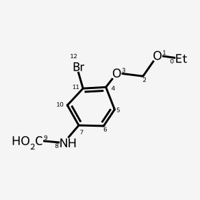 CCOCOc1ccc(NC(=O)O)cc1Br